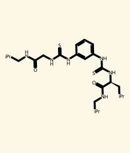 CC(C)CNC(=O)CNC(=S)Nc1cccc(NC(=S)N[C@@H](CC(C)C)C(=O)NCC(C)C)c1